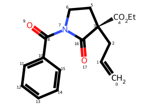 C=CC[C@@]1(C(=O)OCC)CCN(C(=O)c2ccccc2)C1=O